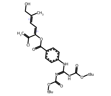 C=C(Cl)/C(=C\C=C(/C)CO)OC(=O)c1ccc(NC(=NC(=O)OC(C)(C)C)NC(=O)OC(C)(C)C)cc1